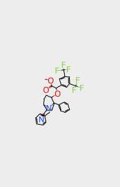 COC(=O)C(OC1CCC2C(C#N)CC1(c1ccccc1)N2Cc1ccccc1)c1cc(C(F)(F)F)cc(C(F)(F)F)c1